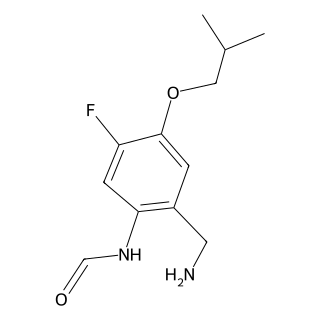 CC(C)COc1cc(CN)c(NC=O)cc1F